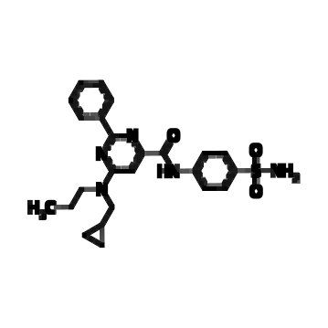 CCCN(CC1CC1)c1cc(C(=O)Nc2ccc(S(N)(=O)=O)cc2)nc(-c2ccccc2)n1